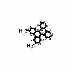 Cc1ccc2c(-c3ccncc3)c(-c3ccncc3)c3ccc(C)cc3c2c1